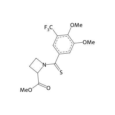 COC(=O)C1CCN1C(=S)c1cc(OC)c(OC)c(C(F)(F)F)c1